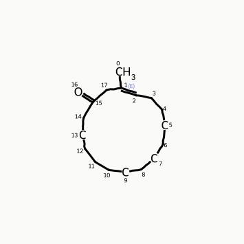 C/C1=C\CCCCCCCCCCCCC(=O)C1